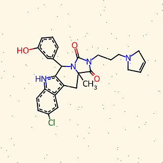 CC12Cc3c([nH]c4ccc(Cl)cc34)C(c3cccc(O)c3)N1C(=O)N(CCCN1CC=CC1)C2=O